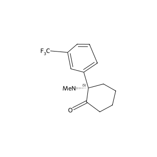 CN[C@]1(c2cccc(C(F)(F)F)c2)CCCCC1=O